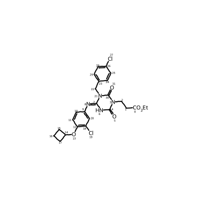 CCOC(=O)CCn1c(=O)[nH]/c(=N\c2ccc(OC3CCC3)c(Cl)c2)n(Cc2ccc(Cl)cc2)c1=O